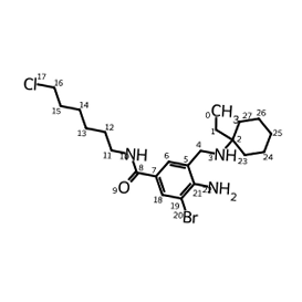 CCC1(NCc2cc(C(=O)NCCCCCCCl)cc(Br)c2N)CCCCC1